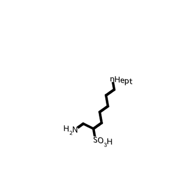 CCCCCCCCCCCCC(CN)S(=O)(=O)O